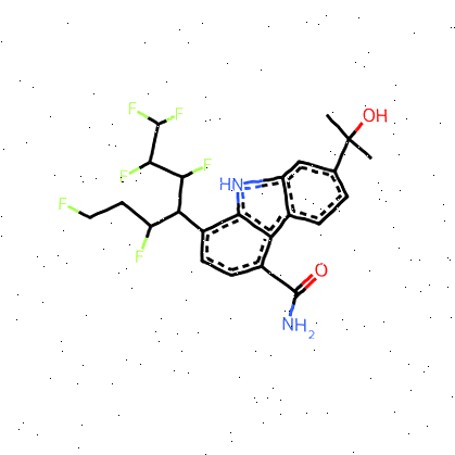 CC(C)(O)c1ccc2c(c1)[nH]c1c(C(C(F)CCF)C(F)C(F)C(F)F)ccc(C(N)=O)c12